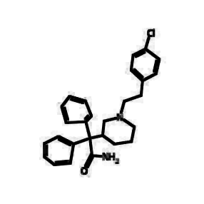 NC(=O)C(c1ccccc1)(c1ccccc1)C1CCCN(CCc2ccc(Cl)cc2)C1